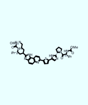 COC(=O)N[C@H](C(=O)N1CCC[C@H]1c1ncc(-c2ccc(-c3ccc4c(ccc5nc(C(CCCN)C[C@@H](NC(=O)OC)C(C)C)[nH]c54)n3)s2)[nH]1)C(C)C